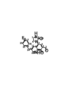 O=Cc1cc(N2CCNC2=O)c2cc(Cc3ccc(F)cc3)cnc2c1O